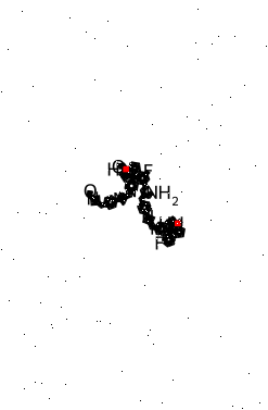 CNC1CCCC1C(c1cccc(F)c1)(C1CCN(CC2CN(c3ccc(CC(CN)CCc4cc(F)cc(C(C5CCN(CC6CN(c7ccc(CC8CN(C=O)C8)cc7)C6)CC5)(C5CCCC5NC=O)N5CCC5)c4)cc3)C2)CC1)N1CCC1